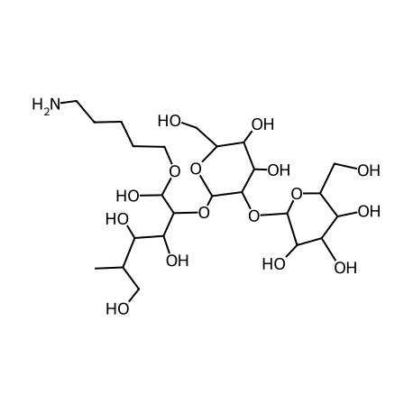 CC(CO)C(O)C(O)C(OC1OC(CO)C(O)C(O)C1OC1OC(CO)C(O)C(O)C1O)C(O)OCCCCCN